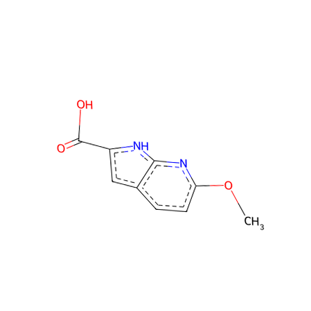 COc1ccc2cc(C(=O)O)[nH]c2n1